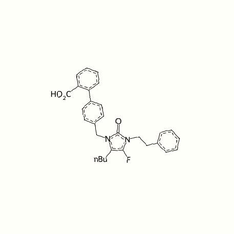 CCCCc1c(F)n(CCc2ccccc2)c(=O)n1Cc1ccc(-c2ccccc2C(=O)O)cc1